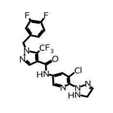 O=C(Nc1cnc(N2N=CCN2)c(Cl)c1)c1cnn(Cc2ccc(F)c(F)c2)c1C(F)(F)F